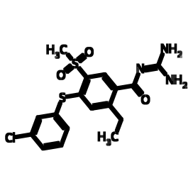 CCc1cc(Sc2cccc(Cl)c2)c(S(C)(=O)=O)cc1C(=O)N=C(N)N